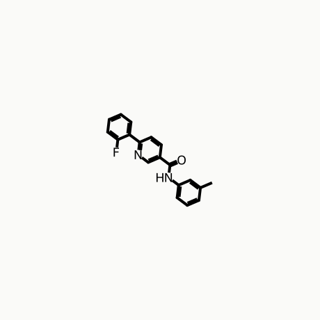 Cc1cccc(NC(=O)c2ccc(-c3ccccc3F)nc2)c1